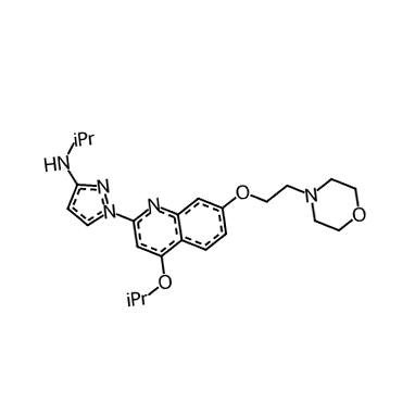 CC(C)Nc1ccn(-c2cc(OC(C)C)c3ccc(OCCN4CCOCC4)cc3n2)n1